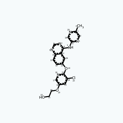 Cc1cnc(Nc2ncnc3ccc(Oc4ncc(OCCO)cc4Cl)cc23)cn1